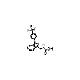 O=C(O)NCc1nn(-c2ccc(C(F)(F)F)cc2)c2cnccc12